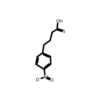 O=[N+]([O-])c1ccc(CCCC(O)=S)cc1